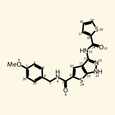 COc1ccc(CNC(=O)c2cc3c(NC(=O)c4cccs4)n[nH]c3s2)cc1